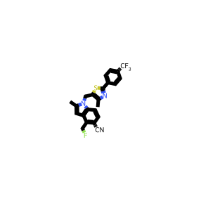 Cc1nc(-c2ccc(C(F)(F)F)cc2)sc1Cn1c(C)cc2c(CF)c(C#N)ccc21